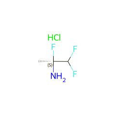 C[C@](N)(F)C(F)F.Cl